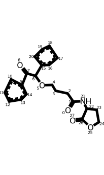 O=C(CCCOC(C(=O)c1ccccc1)c1ccccc1)NC1CCOC1=O